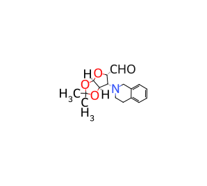 CC1(C)O[C@H]2O[C@H](C=O)[C@H](N3CCc4ccccc4C3)[C@H]2O1